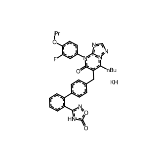 CCCCc1c(Cc2ccc(-c3ccccc3-c3noc(=O)[nH]3)cc2)c(=O)n(-c2ccc(OC(C)C)c(F)c2)c2ncnn12.[KH]